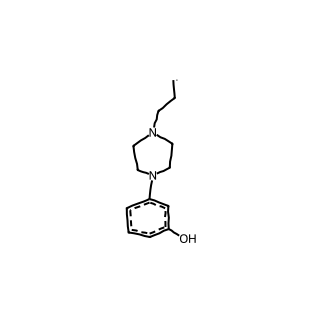 [CH2]CCN1CCN(c2cccc(O)c2)CC1